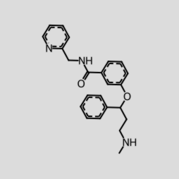 CNCCC(Oc1cccc(C(=O)NCc2ccccn2)c1)c1ccccc1